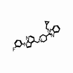 Fc1cccc(-n2ccc3c(CN4CCC(c5nc6ccccc6n5CC5CC5)CC4)ccnc32)c1